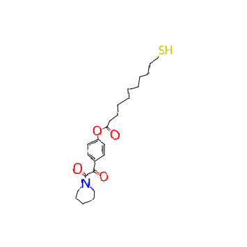 O=C(CCCCCCCCCCS)Oc1ccc(C(=O)C(=O)N2CCCCC2)cc1